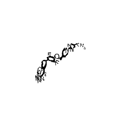 CCc1cnc(N2CCC(COc3c(F)cc(-c4cccc(Cc5nnnn5C)c4)cc3F)CC2)nc1